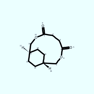 O=C1CCC(=O)OC[C@H]2CC[C@@H](CC2)CO1